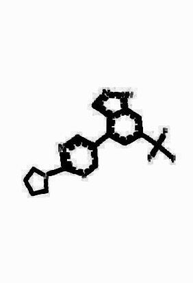 FC(F)(F)c1cc(-c2cnc(N3CCCC3)nc2)c2cn[nH]c2c1